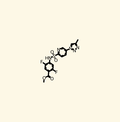 COC(=O)c1cc(F)c(NS(=O)(=O)c2ccc(-n3cc(C)nn3)cn2)cc1F